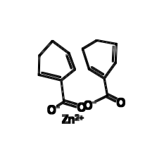 O=C([O-])C1=CCCC=C1.O=C([O-])C1=CCCC=C1.[Zn+2]